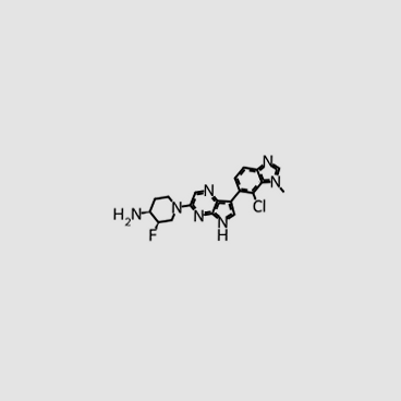 Cn1cnc2ccc(-c3c[nH]c4nc(N5CC[C@H](N)[C@H](F)C5)cnc34)c(Cl)c21